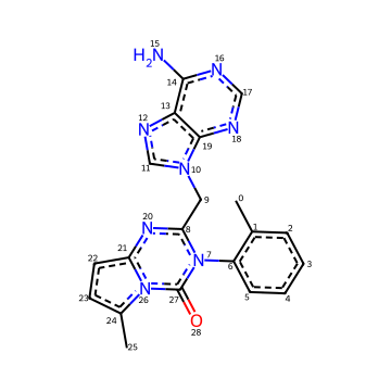 Cc1ccccc1-n1c(Cn2cnc3c(N)ncnc32)nc2ccc(C)n2c1=O